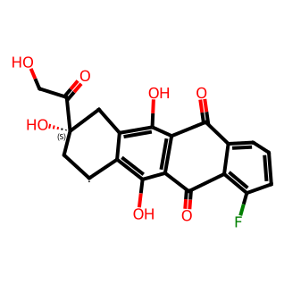 O=C1c2c(F)cccc2C(=O)c2c(O)c3c(c(O)c21)[CH]C[C@@](O)(C(=O)CO)C3